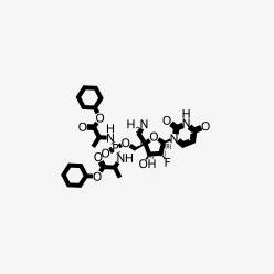 CC(NP(=O)(NC(C)C(=O)OC1CCCCC1)OC[C@@]1(CN)O[C@@H](n2ccc(=O)[nH]c2=O)[C@H](F)[C@@H]1O)C(=O)OC1CCCCC1